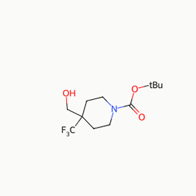 CC(C)(C)OC(=O)N1CCC(CO)(C(F)(F)F)CC1